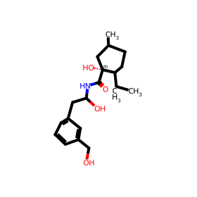 CC1CCC(C(C)C)[C@@](O)(C(=O)NC(O)Cc2cccc(CO)c2)C1